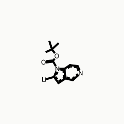 [Li][c]1cc2cnccc2n1C(=O)OC(C)(C)C